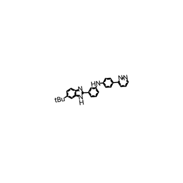 CC(C)(C)c1ccc2nc(-c3cccc(Nc4ccc(-c5cccnn5)cc4)c3)[nH]c2c1